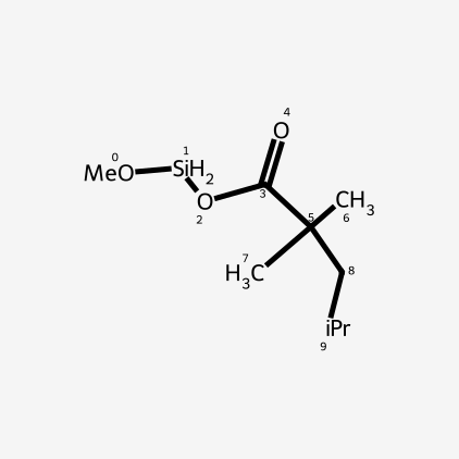 CO[SiH2]OC(=O)C(C)(C)CC(C)C